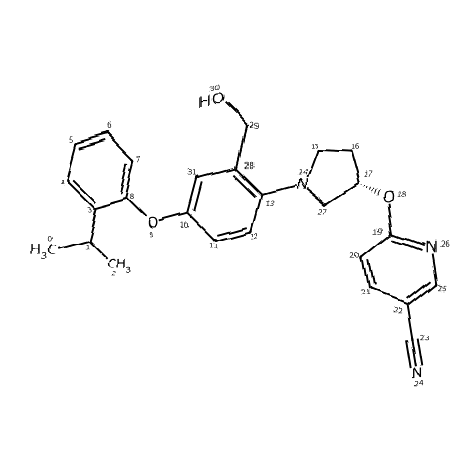 CC(C)c1ccccc1Oc1ccc(N2CC[C@H](Oc3ccc(C#N)cn3)C2)c(CO)c1